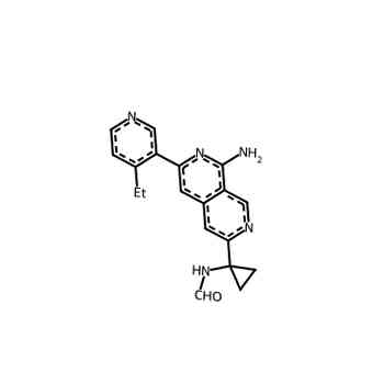 CCc1ccncc1-c1cc2cc(C3(NC=O)CC3)ncc2c(N)n1